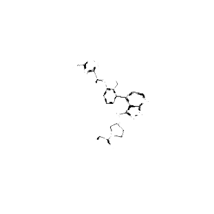 C=CC(=O)N1CC[C@@H](Nc2n[nH]c3nccc(-c4cccc(NC(=O)c5noc(C(C)(C)C)n5)c4CO)c23)C1